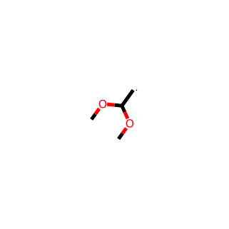 [CH2]C(OC)OC